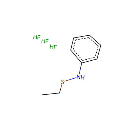 CCSNc1ccccc1.F.F.F